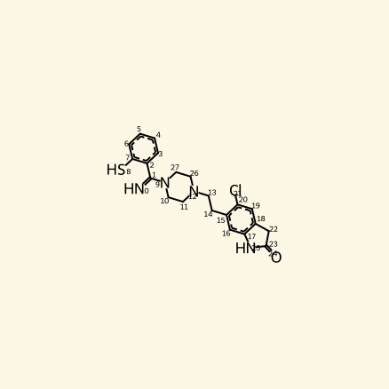 N=C(c1ccccc1S)N1CCN(CCc2cc3c(cc2Cl)CC(=O)N3)CC1